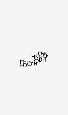 C[C@H](Nc1cc(-c2ccc(OC(F)(F)F)cc2)ncn1)[C@H](O)c1ccccc1